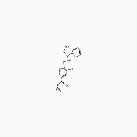 COC(=O)c1ccc(CNC(CO)c2ccccc2)c(Br)c1